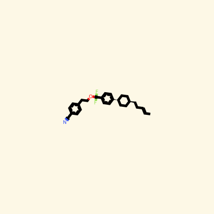 C/C=C/CC[C@H]1CC[C@H](c2ccc(C(F)(F)OCCc3ccc(C#N)cc3)cc2)CC1